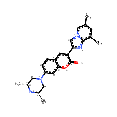 Cc1cc(C)c2nc(-c3cc4ccc(N5C[C@@H](C)N[C@@H](C)C5)cc4oc3=O)cn2c1